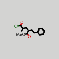 COC(=O)C(CCc1ccccc1)CC(C)C(=O)Cl